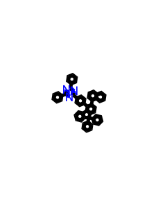 c1ccc(-c2nc(-c3ccccc3)nc(-c3ccc(-c4c(-c5cccc6ccccc56)ccc5c4-c4ccccc4C5(c4ccccc4)c4ccccc4)cc3)n2)cc1